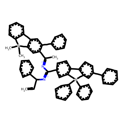 C=CC(/N=C(\N=C(/C)c1cc2c(cc1-c1ccccc1)-c1ccccc1[Si]2(C)C)c1ccc2c(c1)[Si](c1ccccc1)(c1ccccc1)c1cc(-c3ccccc3)ccc1-2)c1ccccc1